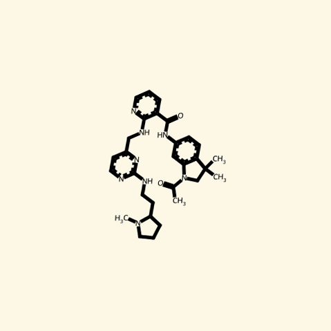 CC(=O)N1CC(C)(C)c2ccc(NC(=O)c3cccnc3NCc3ccnc(NCCC4CCCN4C)n3)cc21